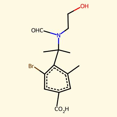 Cc1cc(C(=O)O)cc(Br)c1C(C)(C)N(C=O)CCO